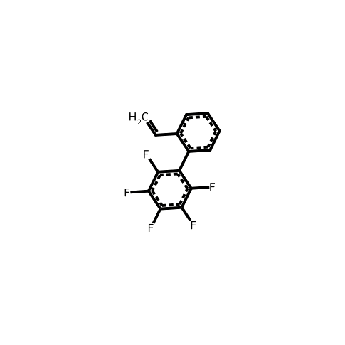 C=Cc1ccccc1-c1c(F)c(F)c(F)c(F)c1F